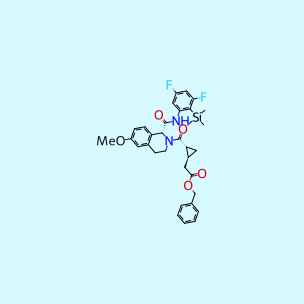 COc1ccc2c(c1)CCN(C(=O)[C@@H]1C[C@H]1CC(=O)OCc1ccccc1)[C@H]2C(=O)Nc1cc(F)cc(F)c1[Si](C)(C)C